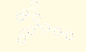 c1ccc(-c2ccc(-c3ccc(N(c4ccc(-c5ccccc5-c5cc6ccccc6o5)cc4)c4ccc5c(ccc6ccccc65)c4)cc3)cc2)cc1